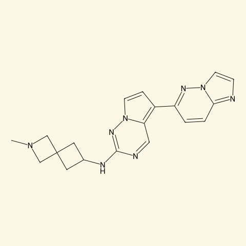 CN1CC2(CC(Nc3ncc4c(-c5ccc6nccn6n5)ccn4n3)C2)C1